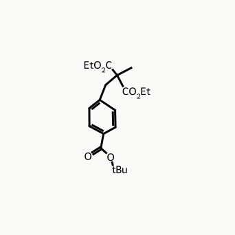 CCOC(=O)C(C)(Cc1ccc(C(=O)OC(C)(C)C)cc1)C(=O)OCC